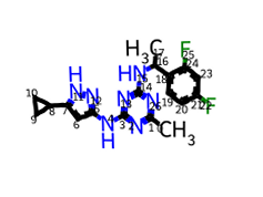 Cc1nc(Nc2cc(C3CC3)[nH]n2)nc(NC(C)c2ccc(F)cc2F)n1